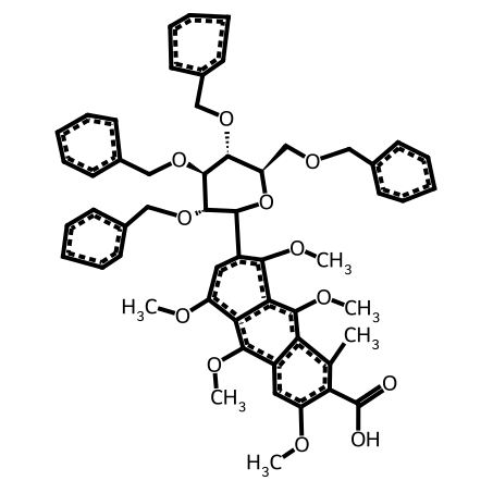 COc1cc2c(OC)c3c(OC)cc(C4O[C@H](COCc5ccccc5)[C@@H](OCc5ccccc5)[C@H](OCc5ccccc5)[C@H]4OCc4ccccc4)c(OC)c3c(OC)c2c(C)c1C(=O)O